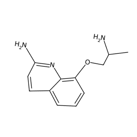 CC(N)COc1cccc2ccc(N)nc12